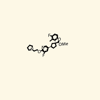 COC(=O)[C@@]1(c2cccc(F)c2C)CC[C@@H](c2cnc(OCCN3CCCC3)c(F)c2)C1